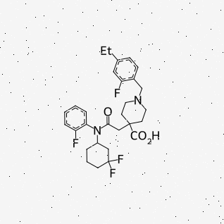 CCc1ccc(CN2CCC(CC(=O)N(c3ccccc3F)C3CCCC(F)(F)C3)(C(=O)O)CC2)c(F)c1